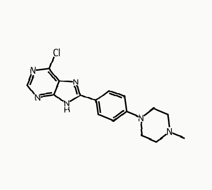 CN1CCN(c2ccc(-c3nc4c(Cl)ncnc4[nH]3)cc2)CC1